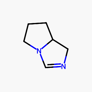 C1=NCC2CCCN12